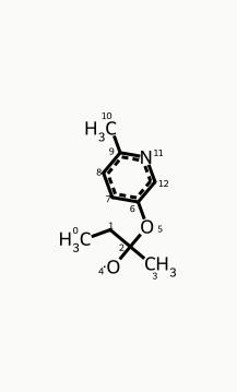 CCC(C)([O])Oc1ccc(C)nc1